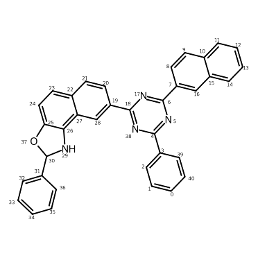 c1ccc(-c2nc(-c3ccc4ccccc4c3)nc(-c3ccc4ccc5c(c4c3)NC(c3ccccc3)O5)n2)cc1